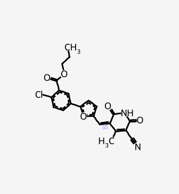 CCCOC(=O)c1cc(-c2ccc(/C=C3\C(=O)NC(=O)C(C#N)=C3C)o2)ccc1Cl